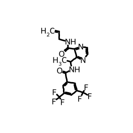 C=CCNC(=O)c1nccnc1C(C)NC(=O)c1cc(C(F)(F)F)cc(C(F)(F)F)c1